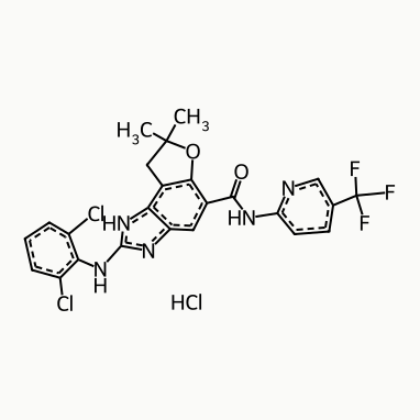 CC1(C)Cc2c(c(C(=O)Nc3ccc(C(F)(F)F)cn3)cc3nc(Nc4c(Cl)cccc4Cl)[nH]c23)O1.Cl